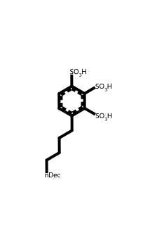 CCCCCCCCCCCCCCc1ccc(S(=O)(=O)O)c(S(=O)(=O)O)c1S(=O)(=O)O